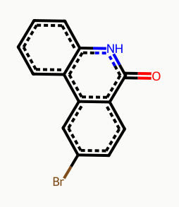 O=c1[nH]c2ccccc2c2cc(Br)ccc12